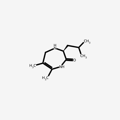 CC1=C(C)NC(=O)[C@H](CC(C)C)NC1